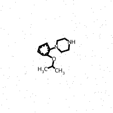 CC(C)Oc1ccccc1N1[CH]CNCC1